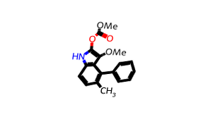 COC(=O)Oc1[nH]c2ccc(C)c(-c3ccccc3)c2c1OC